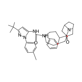 Cc1ccc(-n2nc(C(C)(C)C)cc2NC(=O)Nc2cccc(CC3CC4CCC(C3)N4C(=O)C3CCCCCC3)c2)cc1